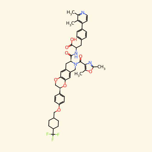 Cc1nc(C(=O)N2Cc3cc4c(cc3C[C@H]2C(=O)NC(Cc2ccc(-c3ccnc(C)c3C)cc2)C(=O)O)OC[C@H](c2ccc(OCC3CCC(C(F)(F)F)CC3)cc2)O4)c(C)o1